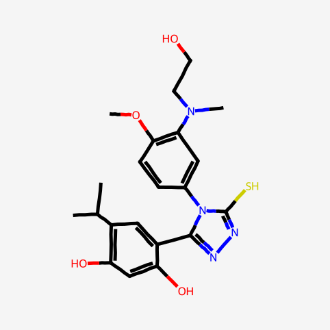 COc1ccc(-n2c(S)nnc2-c2cc(C(C)C)c(O)cc2O)cc1N(C)CCO